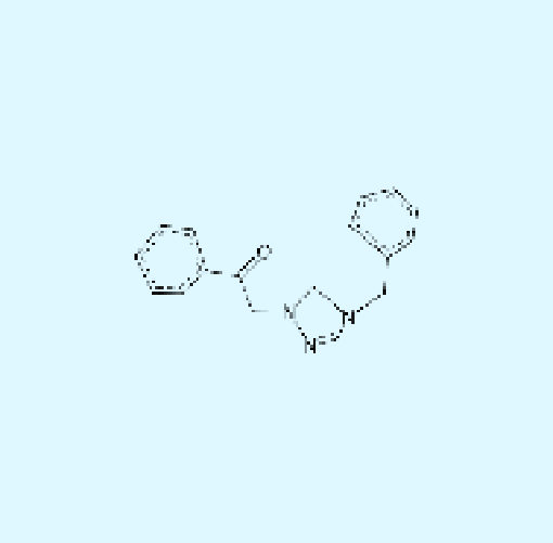 O=C(CN1CN(Cc2ccccc2)C=N1)c1ccccc1